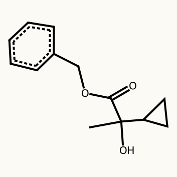 CC(O)(C(=O)OCc1ccccc1)C1CC1